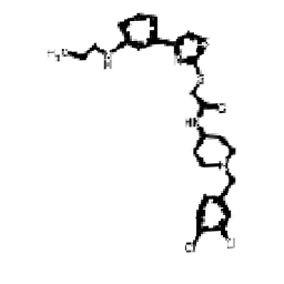 CCCNc1cccc(-c2csc(SCC(=O)NC3CCN(Cc4ccc(Cl)c(Cl)c4)CC3)n2)c1